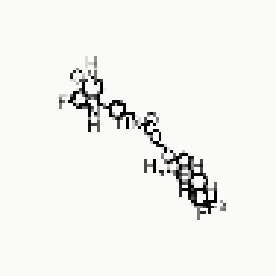 C[C@]12CCC(F)(F)C[C@@H]1CC[C@@H]1[C@@H]2CC[C@]2(C)[C@@H](OCCOCC(=O)NCc3ccc(-c4[nH]c5cc(F)cc6c5c4CCNC6=O)cc3)CC[C@@H]12